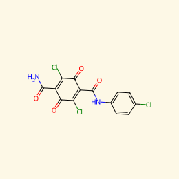 NC(=O)C1=C(Cl)C(=O)C(C(=O)Nc2ccc(Cl)cc2)=C(Cl)C1=O